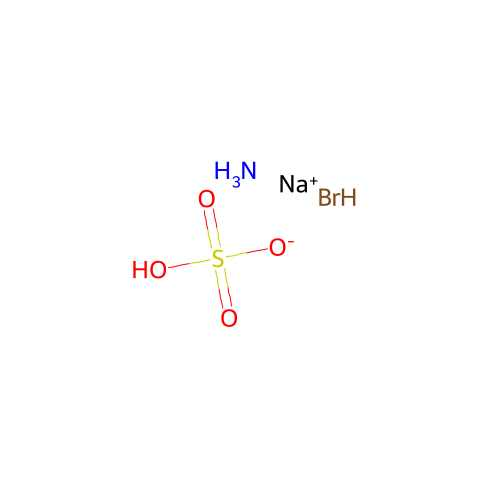 Br.N.O=S(=O)([O-])O.[Na+]